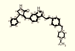 CN1CCN(Cc2ccc(/C=C/c3n[nH]c4cc(C=C5C(=O)NCC5c5ccccc5)ccc34)cc2)CC1